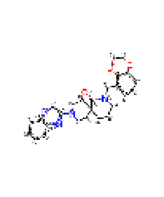 O=C1N(Cc2cccc3c2OCCO3)CCCC12CCN(c1cnc3ccccc3n1)CC2